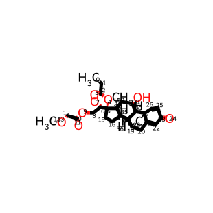 CCC(=O)O[C@]1(C(=O)COC(=O)COC)CC[C@H]2[C@@H]3CCC4=CC(=O)C=C[C@]4(C)[C@H]3C(O)C[C@@]21C